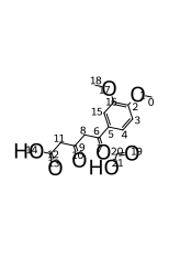 COc1ccc(C(=O)CC(=O)CC(=O)O)cc1OC.O=CO